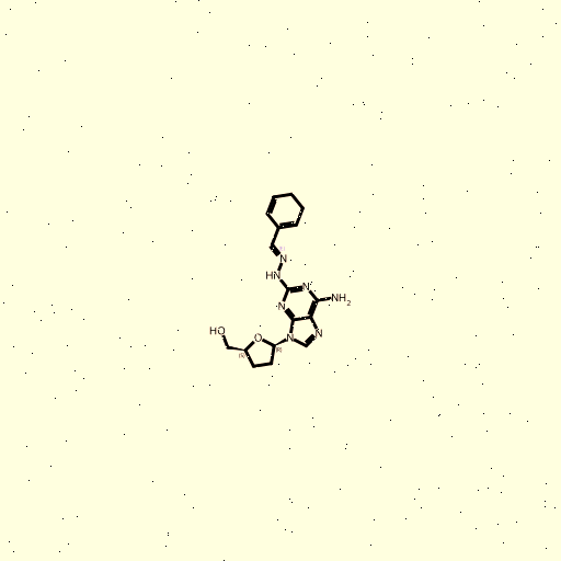 Nc1nc(N/N=C/C2=CCCC=C2)nc2c1ncn2[C@H]1CC[C@@H](CO)O1